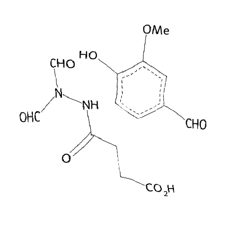 COc1cc(C=O)ccc1O.O=CN(C=O)NC(=O)CCC(=O)O